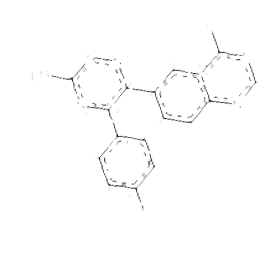 Nc1nnc(-c2ccc3ncnc(C(F)(F)F)c3c2)c(-c2ccc(F)cc2)n1